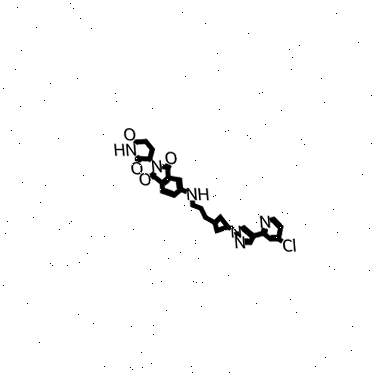 O=C1CCC(N2C(=O)c3ccc(NCCCC4CC(n5cc(-c6cc(Cl)ccn6)cn5)C4)cc3C2=O)C(=O)N1